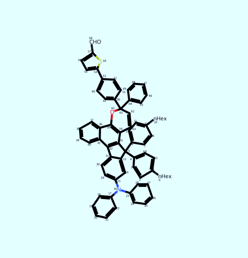 CCCCCCc1ccc(C2(c3ccc(CCCCCC)cc3)c3cc(N(c4ccccc4)c4ccccc4)ccc3-c3c2c2c(c4ccccc34)OC(c3ccccc3)(c3ccc(-c4ccc(C=O)s4)cc3)C=C2)cc1